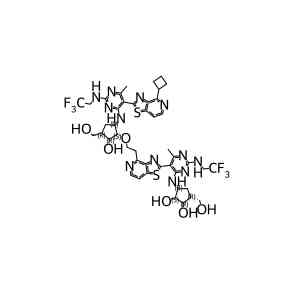 Cc1nc(NCC(F)(F)F)nc(N[C@@H]2C[C@H](CO)[C@@H](O)[C@H]2O)c1-c1nc2c(CCO[C@@H]3[C@H](O)[C@@H](CO)C[C@H]3Nc3nc(NCC(F)(F)F)nc(C)c3-c3nc4c(C5CCC5)nccc4s3)nccc2s1